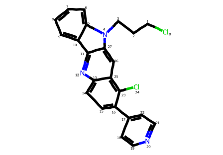 ClCCCn1c2ccccc2c2nc3ccc(-c4ccncc4)c(Cl)c3cc21